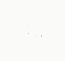 c1cn(C2CC[C@H]3CCC[C@@H]23)cn1